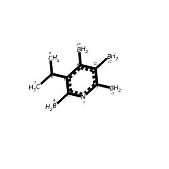 Bc1nc(B)c(C(C)C)c(B)c1B